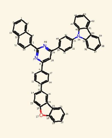 c1ccc2cc(-c3nc(-c4ccc(-c5ccc6oc7ccccc7c6c5)cc4)cc(-c4ccc(-n5c6ccccc6c6ccccc65)cc4)n3)ccc2c1